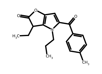 CCCn1c(C(=O)c2ccc(C)cc2)cc2c1C(CC)C(=O)O2